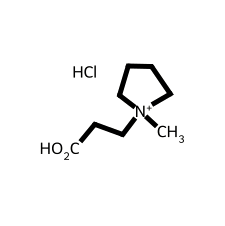 C[N+]1(CCC(=O)O)CCCC1.Cl